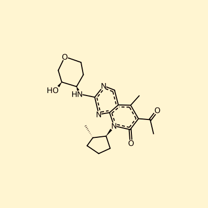 CC(=O)c1c(C)c2cnc(N[C@@H]3CCOC[C@@H]3O)nc2n([C@H]2CCC[C@@H]2C)c1=O